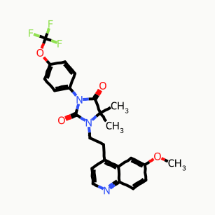 COc1ccc2nccc(CCN3C(=O)N(c4ccc(OC(F)(F)F)cc4)C(=O)C3(C)C)c2c1